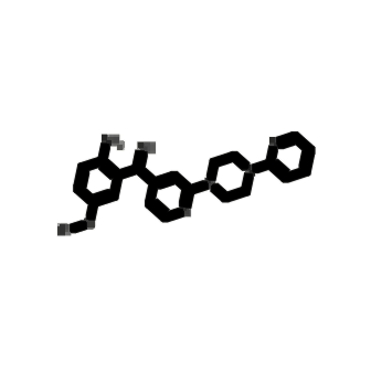 CC(C)Oc1ccc(N)c(C(=N)c2ccnc(N3CCN(c4ccccn4)CC3)c2)c1